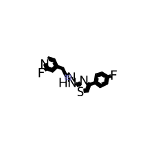 Fc1ccc(-c2csc(N/N=C/Cc3ccnc(F)c3)n2)cc1